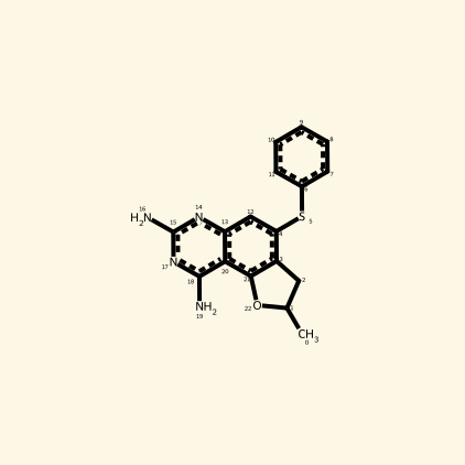 CC1Cc2c(Sc3ccccc3)cc3nc(N)nc(N)c3c2O1